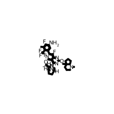 Cc1c(F)c(N)cc(-c2nc3c4c(nc(OCC56CCCC5N(C)CCC6)nc4c2F)N2C[C@H]4CC[C@H](N4)[C@H]2[C@H](C)O3)c1C(F)(F)F